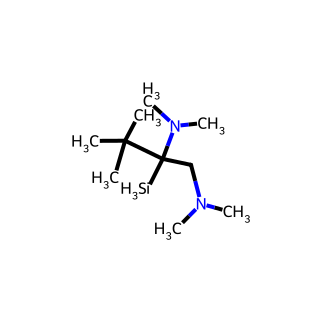 CN(C)CC([SiH3])(N(C)C)C(C)(C)C